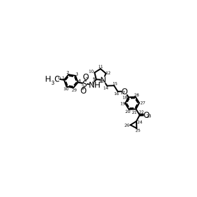 Cc1ccc(S(=O)(=O)NC2CCCN2CCCOc2ccc(C(=O)C3CC3)cc2)cc1